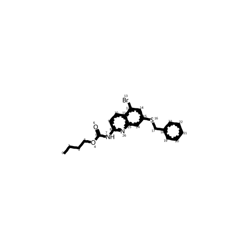 CCCCOC(=O)Nc1ccc2c(Br)cc(SCc3ccccc3)cc2n1